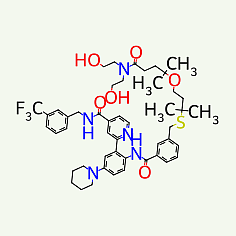 CC(C)(CCC(=O)N(CCO)CCO)OCCC(C)(C)SCc1cccc(C(=O)Nc2ccc(N3CCCCC3)cc2-c2cc(C(=O)NCc3cccc(C(F)(F)F)c3)ccn2)c1